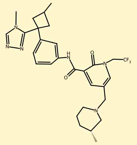 CC1CC(c2cccc(NC(=O)c3cc(CN4CCC[C@@H](C)C4)cn(CC(F)(F)F)c3=O)c2)(c2nncn2C)C1